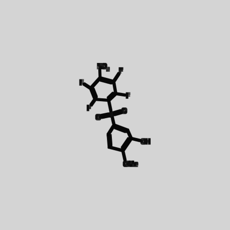 COc1ccc(S(=O)(=O)c2c(F)c(F)c([N+](=O)[O-])c(F)c2F)cc1O